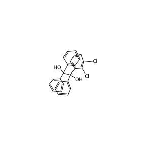 OC(c1ccccc1)(c1ccccc1)C(O)(c1ccccc1)c1cccc(Cl)c1Cl